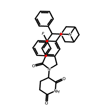 O=C1CCC(N2Cc3cc(CN4C5CC4CN(C(c4ccccc4)c4ccccc4)C5)c(F)cc3C2=O)C(=O)N1